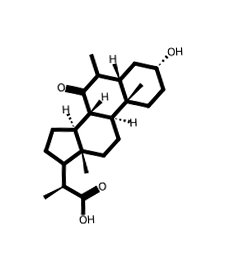 CC1C(=O)[C@@H]2[C@H](CC[C@]3(C)C([C@H](C)C(=O)O)CC[C@@H]23)[C@@]2(C)CC[C@@H](O)C[C@@H]12